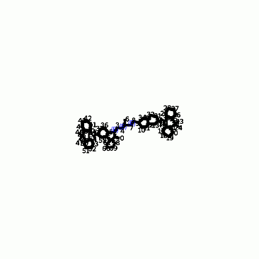 C=C1\C(=C/C=C(C)/C=C/c2ccc3cc(N4c5ccccc5C(C)(C)c5ccccc54)ccc3c2)c2ccc(N3c4ccccc4C(C)(C)c4ccccc43)cc2C12CCCC2